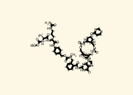 CC(C)[C@H](NC(=O)OC(C)(C)C)C(=O)N[C@@H](CCCNC(N)=O)C(=O)Nc1ccc(COC(=O)N(C)Cc2ccccc2C(=O)Nc2nc3c(ncn3[C@@H]3O[C@@H]4CO[PH](=O)O[C@H]5C[C@H](Oc6ccncn6)C[C@@H]5CO[PH](=O)O[C@@H]3C4=O)c(=O)[nH]2)cc1